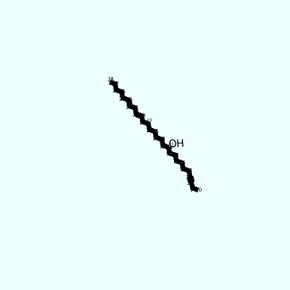 CCC#CCCCCCCC(O)CCCCCCCC=CCC=CCCCCC